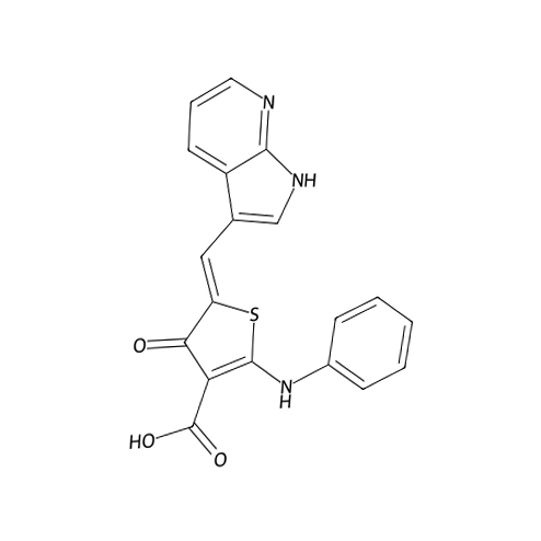 O=C(O)C1=C(Nc2ccccc2)S/C(=C\c2c[nH]c3ncccc23)C1=O